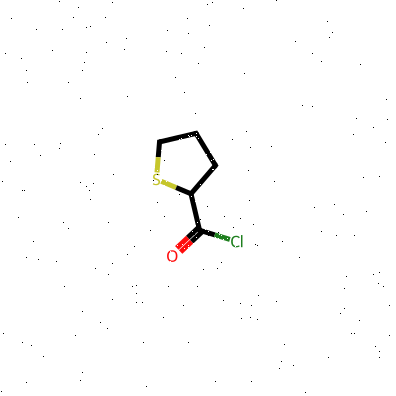 O=C(Cl)C1CCCS1